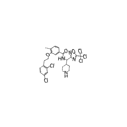 Cc1ccc(C(=O)NC(c2noc(C(Cl)(Cl)Cl)n2)C2CCNCC2)cc1OCCc1ccc(Cl)cc1Cl